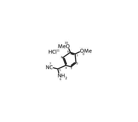 COc1ccc(C(N)C#N)cc1OC.Cl